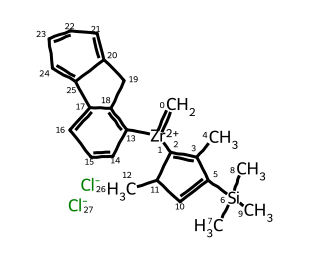 [CH2]=[Zr+2]([C]1=C(C)C([Si](C)(C)C)=CC1C)[c]1cccc2c1Cc1ccccc1-2.[Cl-].[Cl-]